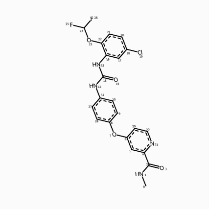 CNC(=O)c1cc(Oc2ccc(NC(=O)Nc3cc(Cl)ccc3OC(F)F)cc2)ccn1